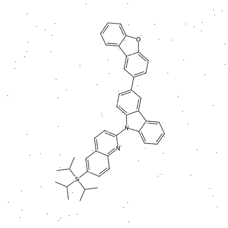 CC(C)[Si](c1ccc2nc(-n3c4ccccc4c4cc(-c5ccc6oc7ccccc7c6c5)ccc43)ccc2c1)(C(C)C)C(C)C